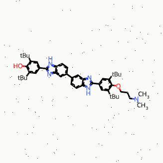 CN(C)CCCOc1c(C(C)(C)C)cc(-c2nc3cc(-c4ccc5[nH]c(-c6cc(C(C)(C)C)c(O)c(C(C)(C)C)c6)nc5c4)ccc3[nH]2)cc1C(C)(C)C